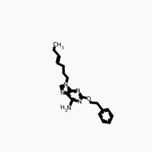 CC/C=C/CCCn1cnc2c(N)nc(OCCc3ccccc3)nc21